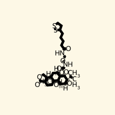 CC(C)[C@]12O[C@H]1[C@@H]1O[C@@]13[C@@]1(C)CCC4=C(COC4=O)[C@@H]1C[C@@H]1O[C@@]13C2OC(=O)NOCNC(=O)CCCCC1CCSS1